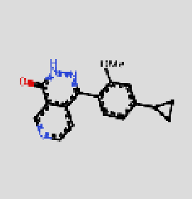 COc1cc(C2CC2)ccc1-c1n[nH]c(=O)c2cnccc12